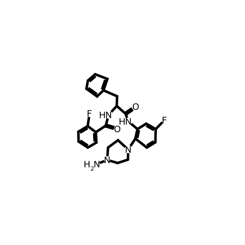 NN1CCN(c2ccc(F)cc2NC(=O)C(Cc2ccccc2)NC(=O)c2ccccc2F)CC1